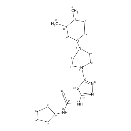 CC1CCC(N2CCN(c3nnc(NC(=O)NC4CCCC4)s3)CC2)CC1C